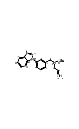 C=CCN(Cc1cccc(-n2nnc3ccccc32)c1)C(C)(C)C